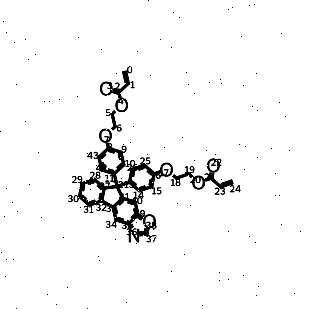 C=CC(=O)OCCOc1ccc(C2(c3ccc(OCCOC(=O)C=C)cc3)c3ccccc3-c3cc4ncoc4cc32)cc1